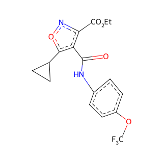 CCOC(=O)c1noc(C2CC2)c1C(=O)Nc1ccc(OC(F)(F)F)cc1